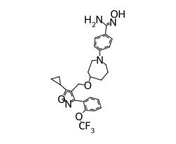 N/C(=N\O)c1ccc(N2CCCC(OCc3c(-c4ccccc4OC(F)(F)F)noc3C3CC3)CC2)cc1